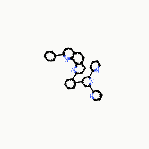 c1ccc(-c2ccc3ccc4ccc(-c5ccccc5-c5cc(-c6ccccn6)nc(-c6ccccn6)c5)nc4c3n2)cc1